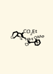 CCOC(=O)c1c(NC(=O)C2CC3CCC2(OC)CC3)sc2c1CCOC2